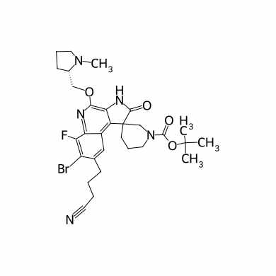 CN1CCC[C@H]1COc1nc2c(F)c(Br)c(CCCC#N)cc2c2c1NC(=O)C21CCCN(C(=O)OC(C)(C)C)C1